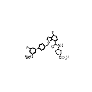 COc1cc(F)cc(-c2ccc(Cn3ccc4c(F)ccc(C(=O)NC5CCC(C(=O)O)CC5)c43)cc2)c1